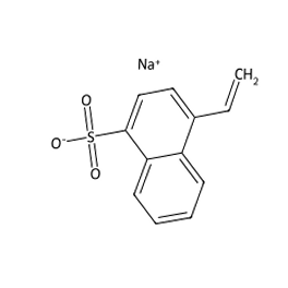 C=Cc1ccc(S(=O)(=O)[O-])c2ccccc12.[Na+]